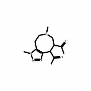 CC(=O)C1CN(C)CCc2c(nnn2C)C1C(C)=O